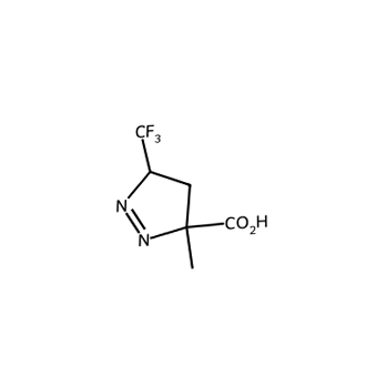 CC1(C(=O)O)CC(C(F)(F)F)N=N1